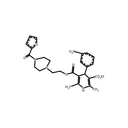 CCOC(=O)C1=C(C)NC(C)=C(C(=O)OCCN2CCN(C(=O)c3ccco3)CC2)C1c1cccc([N+](=O)[O-])c1